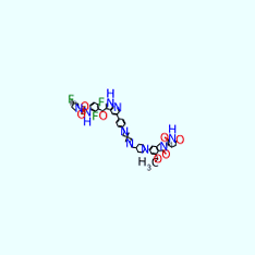 COc1cc(N2CCC(CN3CC4(C3)CN(c3ccc(-c5cnc6[nH]cc(C(=O)c7c(F)ccc(NS(=O)(=O)N8CC[C@@H](F)C8)c7F)c6c5)cc3)C4)CC2)cc2c1C(=O)N([C@@H]1CCC(=O)NC1=O)C2